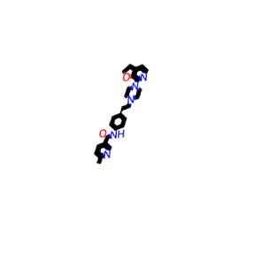 Cc1ccc(C(=O)N[C@H]2CC[C@H](CCN3CCN(c4nccc5c4OCC5)CC3)CC2)cn1